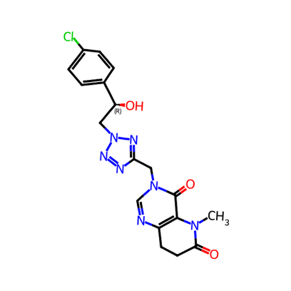 CN1C(=O)CCc2ncn(Cc3nnn(C[C@H](O)c4ccc(Cl)cc4)n3)c(=O)c21